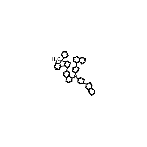 CC1(c2ccccc2)c2ccccc2-c2c(-c3ccc4cccc(N(c5ccc(-c6ccc7ccccc7c6)cc5)c5ccc(-c6cccc7ccccc67)cc5)c4c3)cccc21